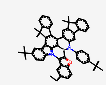 CC(C)(C)c1ccc(N2B3c4oc5ccc(C(C)(C)C)cc5c4-n4c5ccc(C(C)(C)C)cc5c5c6c(c(c3c54)-c3cc4c(cc32)-c2ccccc2C4(C)C)-c2ccccc2C6(C)C)cc1